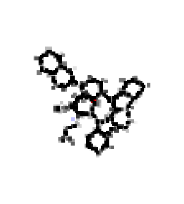 C=C/C=c1/c(-n2c3ccccc3c3ccc4c5ccccc5n(-c5ccc(-c6ccc7ccccc7c6)cc5)c4c32)cccc1=C